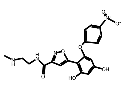 CNCCNC(=O)c1cc(-c2c(O)cc(O)cc2Oc2ccc([N+](=O)[O-])cc2)on1